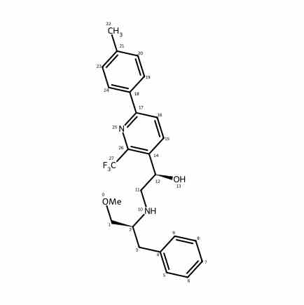 COC[C@H](Cc1ccccc1)NC[C@H](O)c1ccc(-c2ccc(C)cc2)nc1C(F)(F)F